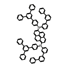 c1ccc(-c2cccc(-c3cccc(N(c4ccc(-c5cc(-c6ccccc6)cc(-c6ccccc6)c5)cc4)c4ccc5ccc6c(N(c7ccc(-c8cc(-c9ccccc9)cc(-c9ccccc9)c8)cc7)c7cccc(-c8cccc(-c9ccccc9)c8)c7)ccc7ccc4c5c76)c3)c2)cc1